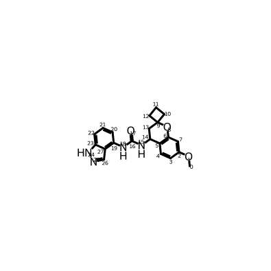 COc1ccc2c(c1)OC1(CCC1)CC2NC(=O)Nc1cccc2[nH]ncc12